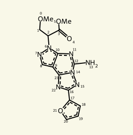 COCC(C(=O)OC)n1ncc2c1nc(N)n1nc(-c3ccco3)nc21